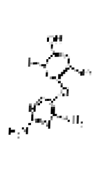 CC(C)C1=C(Oc2cnc(N)nc2N)CC(I)C(O)=C1